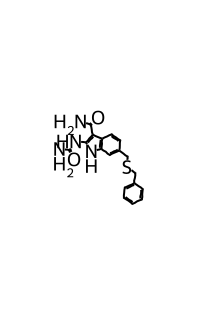 NC(=O)Nc1[nH]c2cc(CSCc3ccccc3)ccc2c1C(N)=O